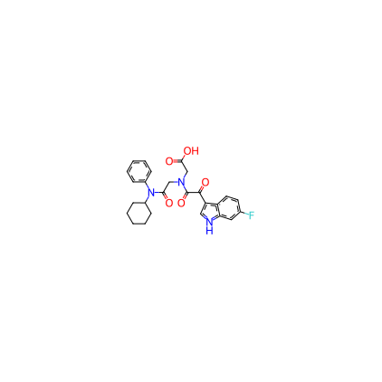 O=C(O)CN(CC(=O)N(c1ccccc1)C1CCCCC1)C(=O)C(=O)c1c[nH]c2cc(F)ccc12